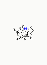 C1CNC2(C1)[C@H]1C[C@H]3C[C@H](C1)C[C@H]2C3